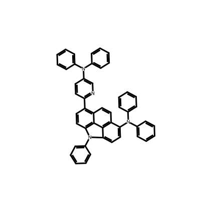 c1ccc(N(c2ccccc2)c2ccc(-c3ccc4c5c3ccc3c(N(c6ccccc6)c6ccccc6)ccc(c35)n4-c3ccccc3)nc2)cc1